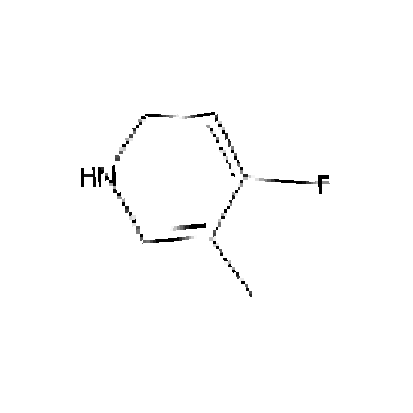 CC1=CNCC=C1F